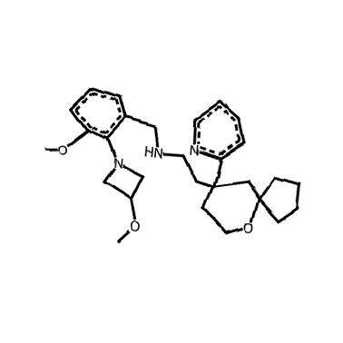 COc1cccc(CNCCC2(c3ccccn3)CCOC3(CCCC3)C2)c1N1CC(OC)C1